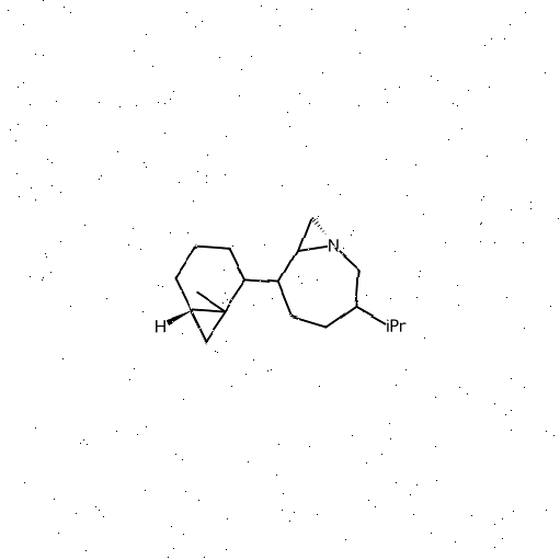 CC(C)C1CCC(C2CCC[C@H]3CC23C)C2C[N@]2C1